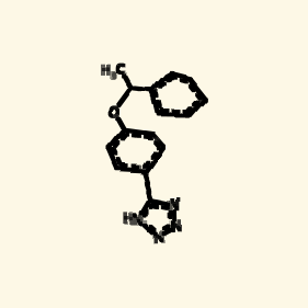 CC(Oc1ccc(-c2nnn[nH]2)cc1)c1ccccc1